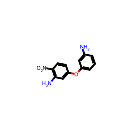 Nc1cccc(Oc2ccc([N+](=O)[O-])c(N)c2)c1